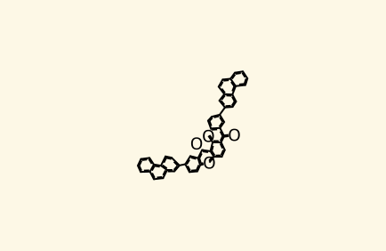 O=c1c2cc(-c3ccc4c(ccc5ccccc54)c3)ccc2oc2c1ccc1oc3ccc(-c4ccc5c(ccc6ccccc65)c4)cc3c(=O)c12